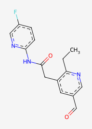 CCc1ncc(C=O)cc1CC(=O)Nc1ccc(F)cn1